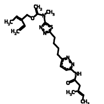 C=C/C(=C\C)COC(=C)N(C)c1nnc(CCCCc2ccc(NC(=O)C/C(C)=C/C)nn2)s1